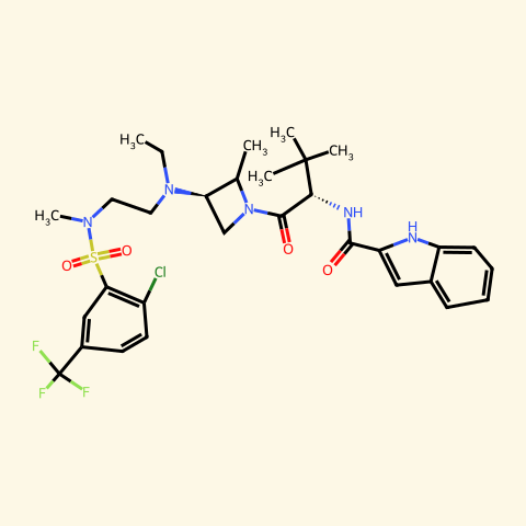 CCN(CCN(C)S(=O)(=O)c1cc(C(F)(F)F)ccc1Cl)[C@@H]1CN(C(=O)[C@@H](NC(=O)c2cc3ccccc3[nH]2)C(C)(C)C)C1C